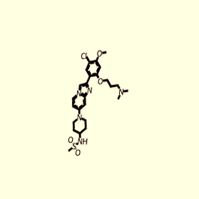 COc1cc(OCCCN(C)C)c(-c2cn3ccc(N4CCC(NS(C)(=O)=O)CC4)cc3n2)cc1Cl